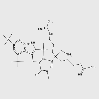 COC(=O)C(Cc1c(C(C)(C)C)[nH]c2cc(C(C)(C)C)cc(C(C)(C)C)c12)NC(=O)C(CN)(CCCNC(=N)N)CCCNC(=N)N